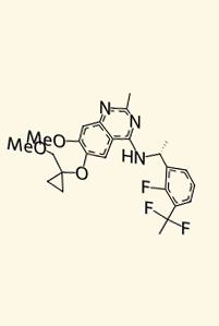 COCC1(Oc2cc3c(N[C@H](C)c4cccc(C(C)(F)F)c4F)nc(C)nc3cc2OC)CC1